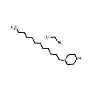 CCCCCCCCCCCCN1CCNCC1.CCN